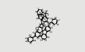 CC1(C)c2ccccc2-c2ccc(N(c3ccccc3)c3ccc4c(c3)C3(c5ccc(-c6ccccc6)cc5Oc5cc(-c6ccccc6)ccc53)c3ccccc3-4)cc21